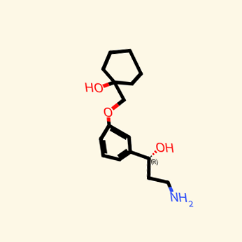 NCC[C@@H](O)c1cccc(OCC2(O)CCCCC2)c1